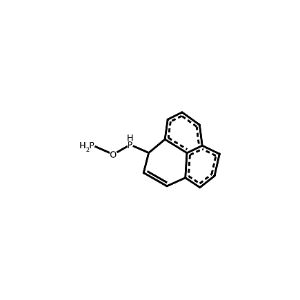 POPC1C=Cc2cccc3cccc1c23